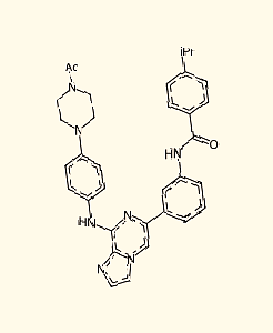 CC(=O)N1CCN(c2ccc(Nc3nc(-c4cccc(NC(=O)c5ccc(C(C)C)cc5)c4)cn4ccnc34)cc2)CC1